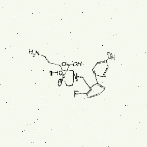 NCCCCC1(C(=O)O)CN(Cc2c(F)cccc2-c2ccc(O)cc2)CCP1(=O)O